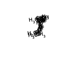 CC(C)(C)OC(=O)N1CCC2(CCCN(C[C@H]3O[C@@H](n4ccc5c(Cl)ncnc54)[C@@H]4OC(C)(C)C[C@@H]43)C2)CC1